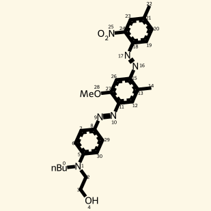 CCCCN(CCO)c1ccc(N=Nc2cc(C)c(N=Nc3ccc(C)cc3[N+](=O)[O-])cc2OC)cc1